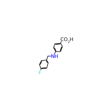 O=C(O)c1ccc(NCc2ccc(F)cc2)cc1